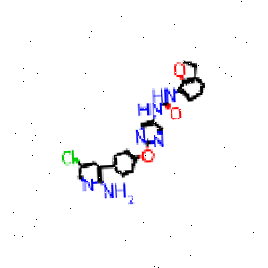 Nc1ncc(Cl)cc1-c1ccc(Oc2ncc(NC(=O)Nc3cccc4c3OCC4)cn2)cc1